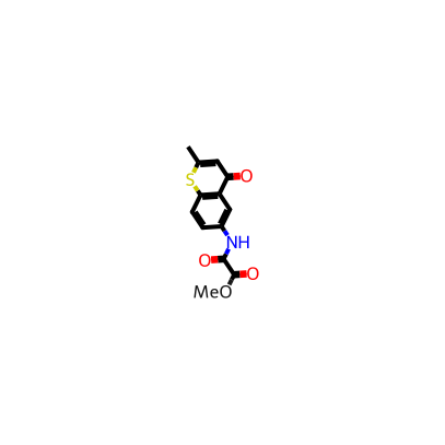 COC(=O)C(=O)Nc1ccc2sc(C)cc(=O)c2c1